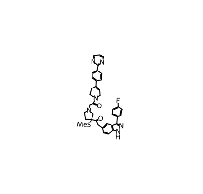 CS[C@@]1(C(=O)Cc2ccc3[nH]nc(-c4ccc(F)cc4)c3c2)CCN(CC(=O)N2CC=C(c3ccc(-c4ncccn4)cc3)CC2)C1